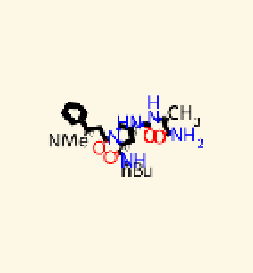 CCCCNC(=O)[C@@H]1C[C@H](NC(=O)N[C@@H](C)C(N)=O)CN1C(=O)C[C@@H](NC)c1ccccc1